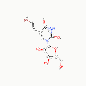 O=c1[nH]c(=O)n([C@@H]2O[C@H](CO)[C@@H](O)[C@H]2O)cc1C=CBr